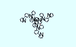 O=P(c1cccc(N(c2ccccc2)c2cccc(-c3ccccn3)c2)n1)(c1cccc(N(c2ccccc2)c2cccc(-c3ccccn3)c2)n1)c1cccc(N(c2ccccc2)c2cccc(-c3ccccn3)c2)n1